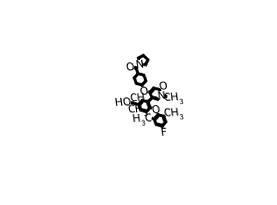 Cc1cc(F)cc(C)c1Oc1ccc(C(C)(C)O)cc1-c1cn(C)c(=O)cc1OC1CCC(C(=O)N2CCCC2)CC1